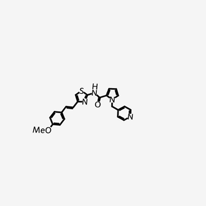 COc1ccc(C=Cc2csc(NC(=O)c3cccn3Cc3ccncc3)n2)cc1